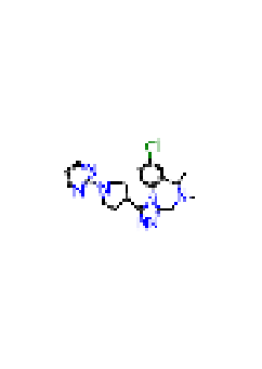 CC1c2cc(Cl)ccc2-n2c(nnc2C2CCN(c3ncccn3)CC2)CN1C